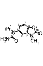 CC(C)N(C(N)=O)c1ccc2oc(=O)n(C)c2c1